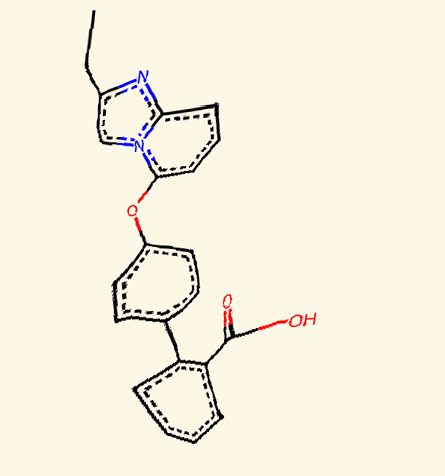 CCc1cn2c(Oc3ccc(-c4ccccc4C(=O)O)cc3)cccc2n1